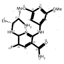 CC[C@@H](NC1N=C(Nc2cc(OC)nc(OC)c2)C(C(N)=O)=CC1F)[C@H](C)N